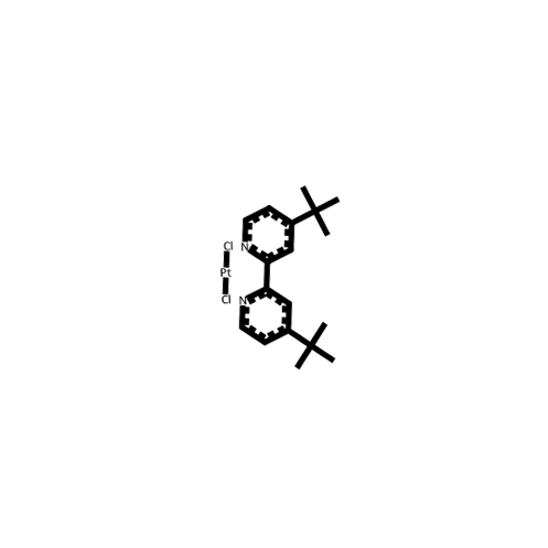 CC(C)(C)c1ccnc(-c2cc(C(C)(C)C)ccn2)c1.[Cl][Pt][Cl]